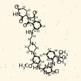 COc1cc(N2CCN(CCNc3cccc4c3C(=O)N(C3CCC(=O)NC3=O)C4=O)CC2)ccc1Nc1ncc(Cl)c(Nc2ccccc2P(C)(C)=O)n1